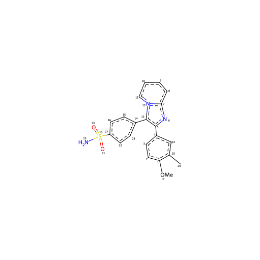 COc1ccc(-c2nc3ccccn3c2-c2ccc(S(N)(=O)=O)cc2)cc1C